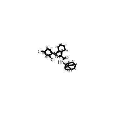 O=C(NC1C2CC3CC(C2)CC1C3)c1nn(-c2ccc(Cl)cc2Cl)c2c1CCCC2